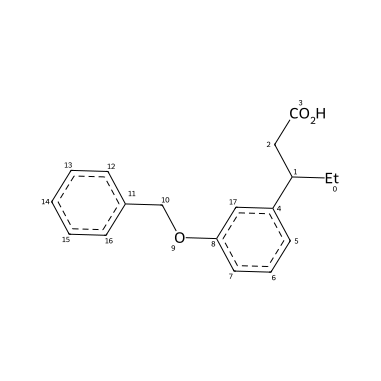 CCC(CC(=O)O)c1cccc(OCc2ccccc2)c1